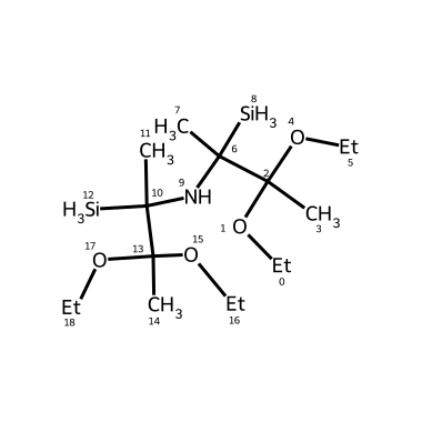 CCOC(C)(OCC)C(C)([SiH3])NC(C)([SiH3])C(C)(OCC)OCC